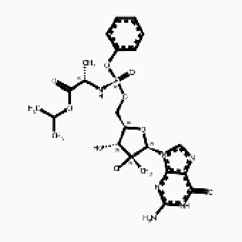 CC(C)OC(=O)[C@H](C)N[P@@](=O)(OC[C@H]1O[C@@H](n2cnc3c(=O)[nH]c(N)nc32)[C@](C)(Cl)[C@@H]1O)Oc1ccccc1